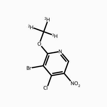 [2H]C([2H])([2H])Oc1ncc([N+](=O)[O-])c(Cl)c1Br